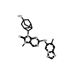 Cc1cc2ncnn2cc1Nc1ncc2c(n1)n(C1C3CC4CC(O)(C3)CC41)c(=O)n2C